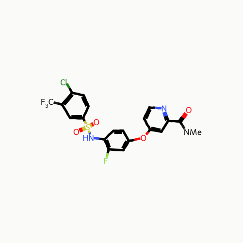 CNC(=O)c1cc(Oc2ccc(NS(=O)(=O)c3ccc(Cl)c(C(F)(F)F)c3)c(F)c2)ccn1